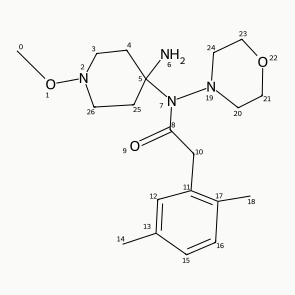 CON1CCC(N)(N(C(=O)Cc2cc(C)ccc2C)N2CCOCC2)CC1